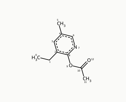 CCc1cc(C)cnc1OC(C)=O